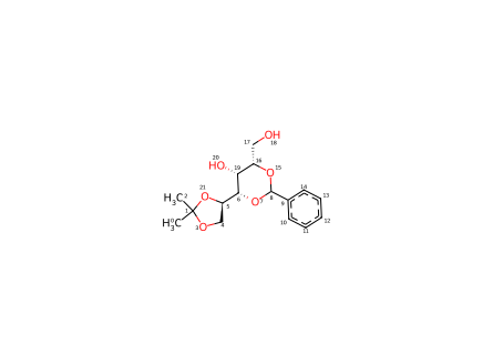 CC1(C)OC[C@H]([C@H]2OC(c3ccccc3)O[C@@H](CO)[C@H]2O)O1